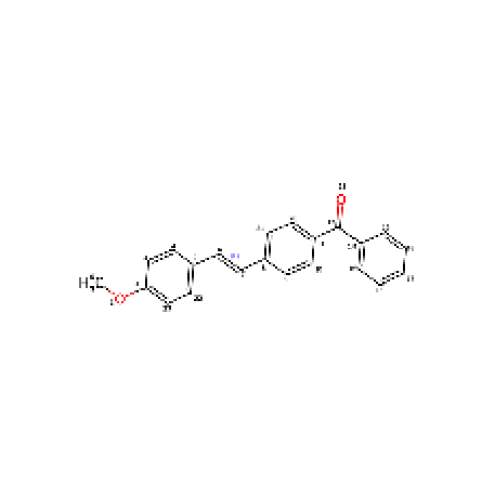 COc1ccc(/C=C/c2ccc(C(=O)c3ccccc3)cc2)cc1